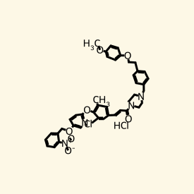 COc1ccc(OCCc2ccc(CN3CCN(C(=O)C=Cc4cc(C)c(Oc5ccc(OCc6ccccc6[N+](=O)[O-])cn5)c(Cl)c4)CC3)cc2)cc1.Cl